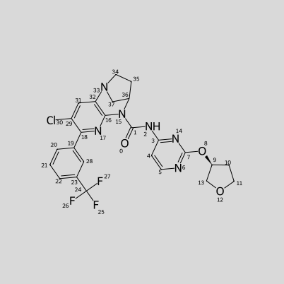 O=C(Nc1ccnc(O[C@H]2CCOC2)n1)N1c2nc(-c3cccc(C(F)(F)F)c3)c(Cl)cc2N2CCC1C2